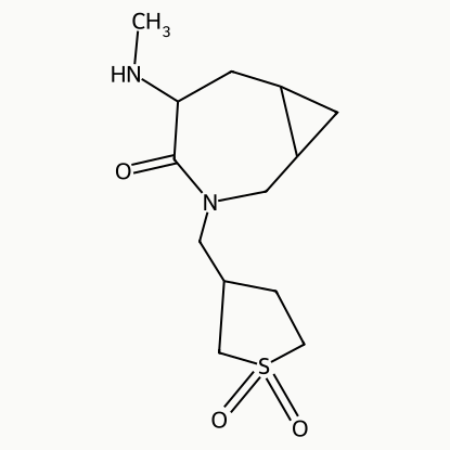 CNC1CC2CC2CN(CC2CCS(=O)(=O)C2)C1=O